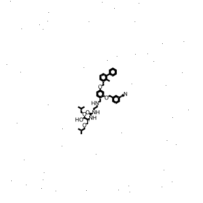 Cc1c(COc2ccc(CNCCNC(=O)N[C@@H](COCC(C)C)C(O)OCC(C)C)c(OCc3cccc(C#N)c3)c2)cccc1-c1ccccc1